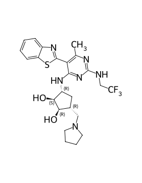 Cc1nc(NCC(F)(F)F)nc(N[C@@H]2C[C@H](CN3CCCC3)[C@@H](O)[C@H]2O)c1-c1nc2ccccc2s1